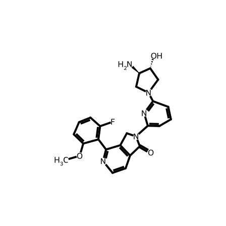 COc1cccc(F)c1-c1nccc2c1CN(c1cccc(N3C[C@@H](N)[C@H](O)C3)n1)C2=O